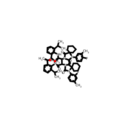 Cc1ccc(N2C(=O)N(C(C(=O)Nc3c(C(C)C)cccc3C(C)C)C(C(=O)Nc3c(C(C)C)cccc3C(C)C)N3C(=O)N(c4ccc(F)c(C)c4)C4(CCCCC4)C3=O)C(=O)C23CCCCC3)c(F)c1